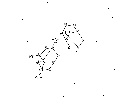 CC(C)C12CC3CC(NC45CC6CC(CC(C6)C4)C5)(C1)CC(C(C)C)(C3)C2